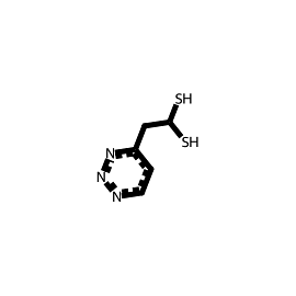 SC(S)Cc1ccnnn1